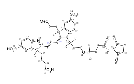 COCCC1(C)/C(=C\C=C\C2=Nc3ccc(S(=O)(=O)O)cc3C2(C)CCCS(=O)(=O)O)N(C(C)(C)CCOC(C)(C)CCC(=O)ON2C(=O)CCC2=O)c2ccc(S(=O)(=O)O)cc21